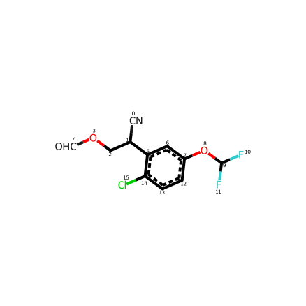 N#CC(COC=O)c1cc(OC(F)F)ccc1Cl